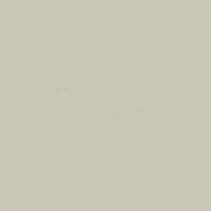 CNCCS(=O)(=O)Nc1ccccn1